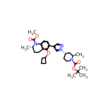 COC(=O)N1c2ccc(-c3cnn([C@H]4CCN(C(=O)OC(C)(C)C)[C@H](C)C4)c3)c(OC3CCC3)c2CC[C@@H]1C